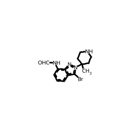 CC1(n2nc3c(NC=O)cccc3c2Br)CCNCC1